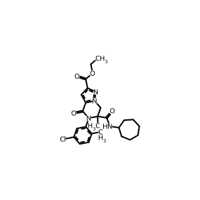 CCOC(=O)c1cc2n(n1)CC(C)(C(=O)NC1CCCCCC1)N(c1cc(Cl)ccc1C)C2=O